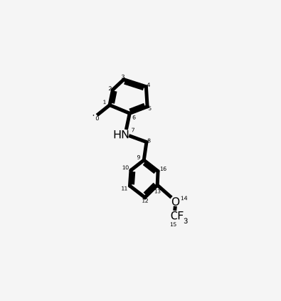 [CH2]c1ccccc1NCc1cccc(OC(F)(F)F)c1